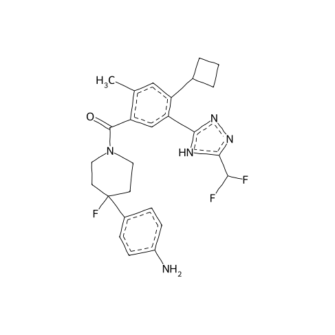 Cc1cc(C2CCC2)c(-c2nnc(C(F)F)[nH]2)cc1C(=O)N1CCC(F)(c2ccc(N)cc2)CC1